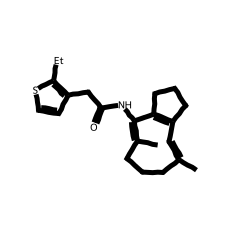 CCc1sccc1CC(=O)N/C1=C(/C)CCC/C(C)=C/C2=C1CCC2